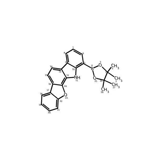 CC1(C)OB(c2cccc3c2[nH]c2c3ccc3c4ccccc4oc32)OC1(C)C